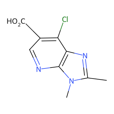 Cc1nc2c(Cl)c(C(=O)O)cnc2n1C